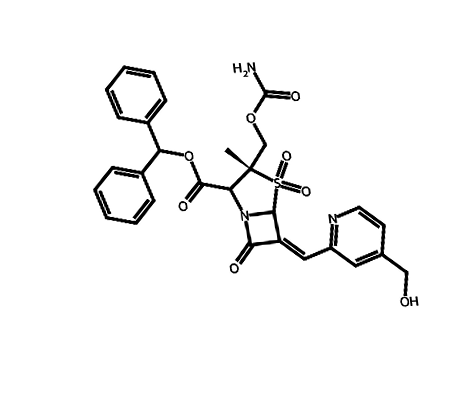 C[C@]1(COC(N)=O)C(C(=O)OC(c2ccccc2)c2ccccc2)N2C(=O)/C(=C/c3cc(CO)ccn3)C2S1(=O)=O